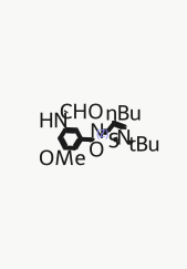 CCCCc1cn(C(C)(C)C)s/c1=N\C(=O)c1cc(NC=O)ccc1OC